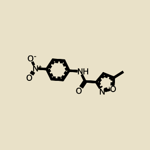 Cc1cc(C(=O)Nc2ccc([N+](=O)[O-])cc2)no1